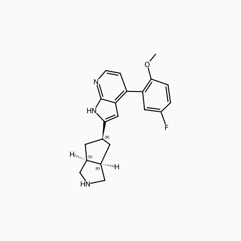 COc1ccc(F)cc1-c1ccnc2[nH]c([C@H]3C[C@H]4CNC[C@H]4C3)cc12